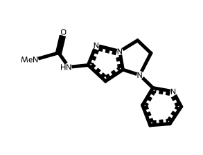 CNC(=O)Nc1cc2n(n1)CCN2c1ccccn1